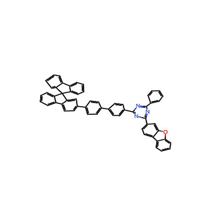 c1ccc(-c2nc(-c3ccc(-c4ccc(-c5ccc6c(c5)C5(c7ccccc7-c7ccccc75)c5ccccc5-6)cc4)cc3)nc(-c3ccc4c(c3)oc3ccccc34)n2)cc1